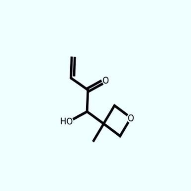 C=CC(=O)C(O)C1(C)COC1